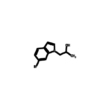 CC(O)Cn1ccc2ccc(Br)cc21